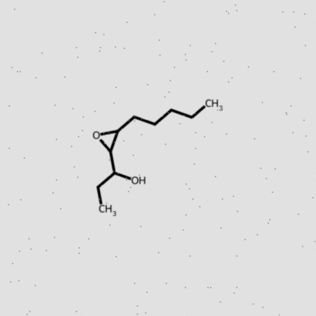 CCCCCC1OC1C(O)CC